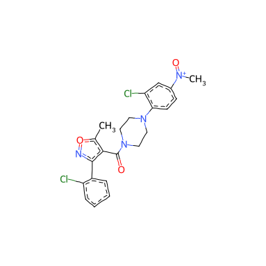 Cc1onc(-c2ccccc2Cl)c1C(=O)N1CCN(c2ccc([N+](C)=O)cc2Cl)CC1